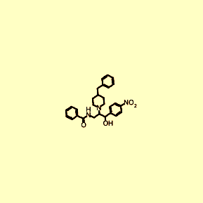 O=C(NCC(C(O)c1ccc([N+](=O)[O-])cc1)N1CCC(Cc2ccccc2)CC1)c1ccccc1